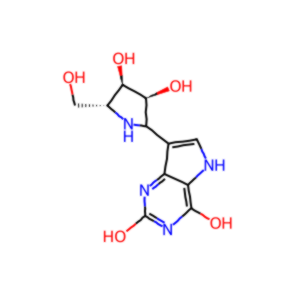 OC[C@H]1NC(c2c[nH]c3c(O)nc(O)nc23)[C@H](O)[C@@H]1O